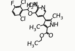 CCOC(=O)c1[nH]c(C)c(-c2cnc(N)c(OC(C)c3c(Cl)ccc(F)c3Cl)c2)c1C